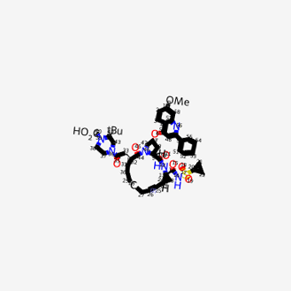 COc1ccc2c(O[C@@H]3C[C@H]4C(=O)N[C@]5(C(=O)NS(=O)(=O)C6CC6)C[C@H]5/C=C\CCCCC[C@H](CC(=O)N5CCN(C(=O)O)C(C(C)(C)C)C5)C(=O)N4C3)cc(-c3ccccc3)nc2c1